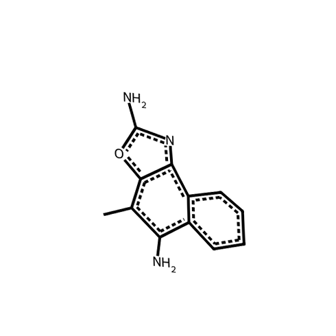 Cc1c(N)c2ccccc2c2nc(N)oc12